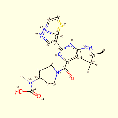 C[C@H](Nc1cc(C(=O)N2CCC(N(C)C(=O)O)CC2)nc(-c2cnn3ccsc23)n1)C(C)(C)C